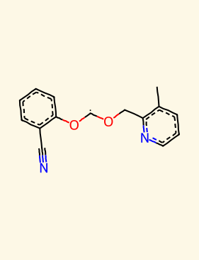 Cc1cccnc1CO[CH]Oc1ccccc1C#N